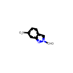 O=Cn1cc2ccc([N+](=O)[O-])cc2n1